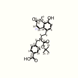 CNc1c(O)ccc(CCN(Cc2ccc(C(=O)O)cn2)C(=O)OC(C)(C)C)c1/C=C\C=O